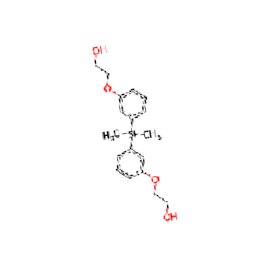 C[Si](C)(c1cccc(OCCO)c1)c1cccc(OCCO)c1